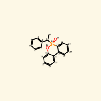 CC(c1ccccc1)P1(=O)Oc2ccccc2-c2ccccc21